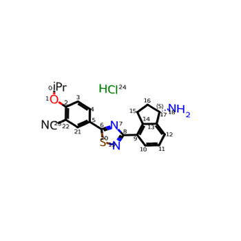 CC(C)Oc1ccc(-c2nc(-c3cccc4c3CC[C@@H]4N)ns2)cc1C#N.Cl